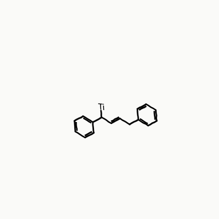 [Ti][CH](C=CCc1ccccc1)c1ccccc1